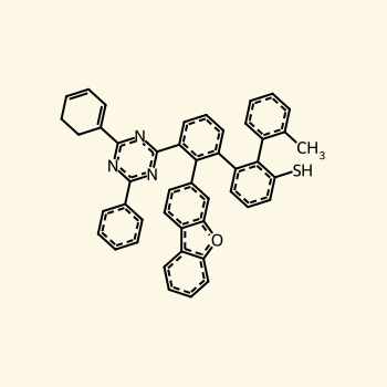 Cc1ccccc1-c1c(S)cccc1-c1cccc(-c2nc(C3=CC=CCC3)nc(-c3ccccc3)n2)c1-c1ccc2c(c1)oc1ccccc12